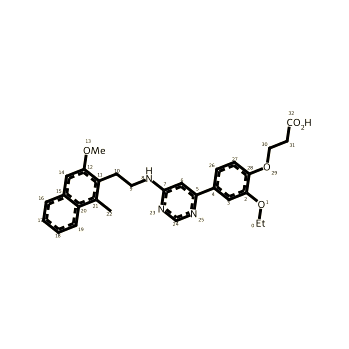 CCOc1cc(-c2cc(NCCc3c(OC)cc4ccccc4c3C)ncn2)ccc1OCCC(=O)O